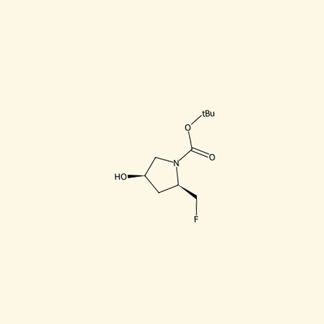 CC(C)(C)OC(=O)N1C[C@H](O)C[C@@H]1CF